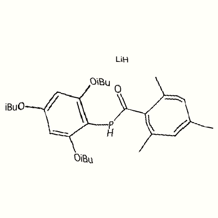 Cc1cc(C)c(C(=O)Pc2c(OCC(C)C)cc(OCC(C)C)cc2OCC(C)C)c(C)c1.[LiH]